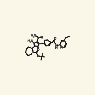 CCc1ccnc(NC(=O)c2ccc(-c3nc(C4CCCCCN4C(=O)OC(C)(C)C)n(N)c3C(N)=O)cc2)c1